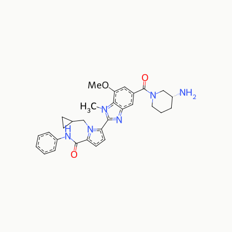 COc1cc(C(=O)N2CCC[C@@H](N)C2)cc2nc(-c3ccc(C(=O)Nc4ccccc4)n3CC3CC3)n(C)c12